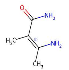 C/C(N)=C(\C)C(N)=O